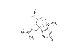 COc1cc(F)ccc1C(C)(CC=C(C)C)CC(C)C=O